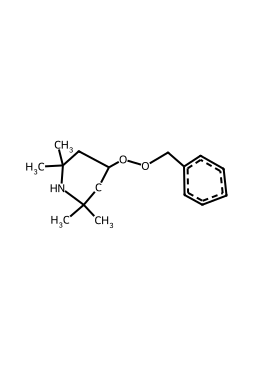 CC1(C)CC(OOCc2ccccc2)CC(C)(C)N1